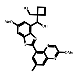 COc1cc(C(O)C2(CO)CCC2)c2nc(-c3cc(C)cc4nc(OC)cnc34)sc2c1